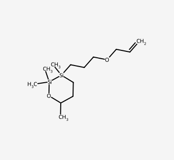 C=CCOCCC[Si]1(C)CCC(C)O[Si]1(C)C